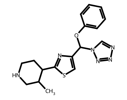 CC1CNCCC1c1nc(C(Oc2ccccc2)n2cnnn2)cs1